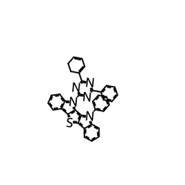 C1=CCCC(c2nc(-c3ccccc3)nc(-n3c4ccccc4c4sc5c6ccccc6n(-c6ccccc6)c5c43)n2)=C1